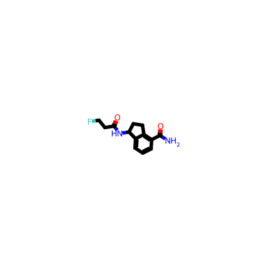 NC(=O)c1cccc2c1CCC2NC(=O)CCF